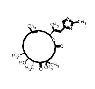 C/C1=C/C[C@@H](/C(C)=C/c2csc(C)n2)OC(=O)CCC(C)(C)C(=O)[C@H](C)[C@@H](O)[C@@H](C)CCC1